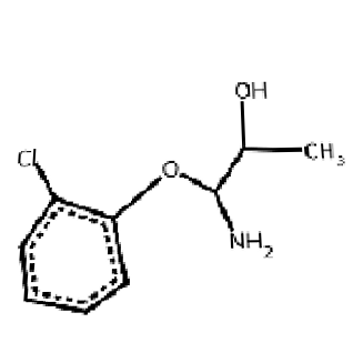 CC(O)C(N)Oc1ccccc1Cl